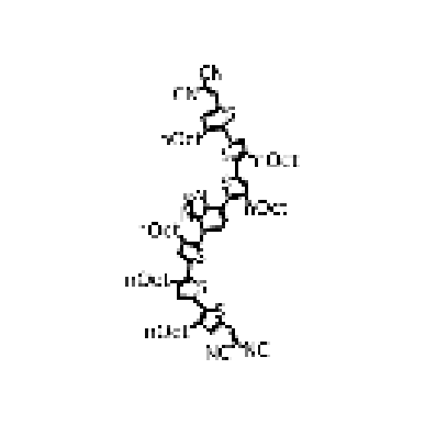 [C-]#[N+]/C(C#N)=C\c1cc(CCCCCCCC)c(-c2cc(CCCCCCCC)c(-c3cc(CCCCCCCC)c(-c4ccc(-c5sc(-c6sc(-c7sc(/C=C(\C#N)[N+]#[C-])cc7CCCCCCCC)cc6CCCCCCCC)cc5CCCCCCCC)c5nsnc45)s3)s2)s1